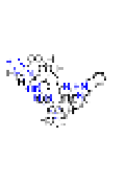 CC(N)CC(=O)O.CC(N)CC(=O)O.NC(Cc1ccncc1)C(=O)O.NC(Cc1ccncc1)C(=O)O.O=C(O)C1Cc2ccccc2CN1.O=C(O)C1Cc2ccccc2CN1